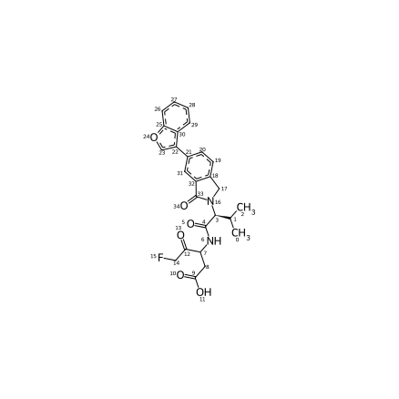 CC(C)[C@@H](C(=O)NC(CC(=O)O)C(=O)CF)N1Cc2ccc(-c3coc4ccccc34)cc2C1=O